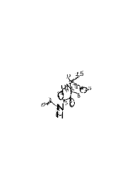 CCNC(=O)C(=O)C(COC)NC(C)(C)C